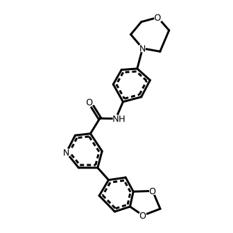 O=C(Nc1ccc(N2CCOCC2)cc1)c1cncc(-c2ccc3c(c2)OCO3)c1